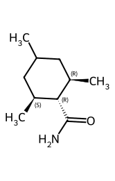 CC1C[C@@H](C)[C@H](C(N)=O)[C@@H](C)C1